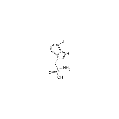 N[C@@H](Cc1c[nH]c2c(I)cccc12)C(=O)O